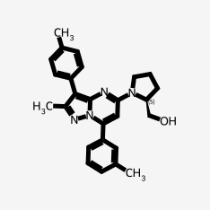 Cc1ccc(-c2c(C)nn3c(-c4cccc(C)c4)cc(N4CCC[C@H]4CO)nc23)cc1